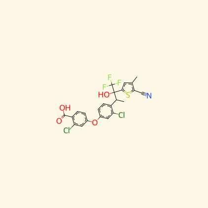 Cc1cc(C(O)(C(C)c2ccc(Oc3ccc(C(=O)O)c(Cl)c3)cc2Cl)C(F)(F)F)sc1C#N